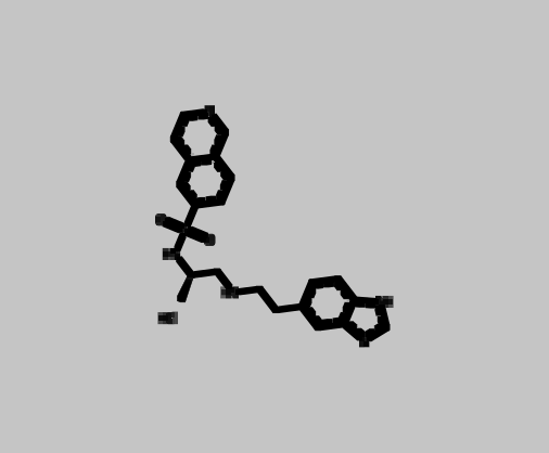 C[C@H](CNCCc1ccc2[nH]cnc2c1)NS(=O)(=O)c1ccc2cnccc2c1.Cl